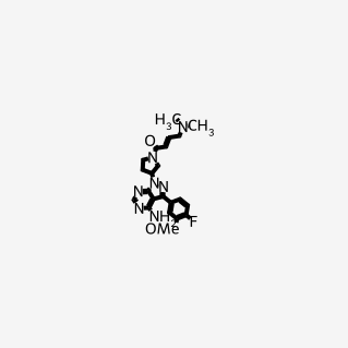 COc1cc(-c2nn(C3CCN(C(=O)C=CCN(C)C)C3)c3ncnc(N)c23)ccc1F